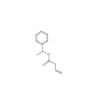 C=CCC(=O)OC(C)c1ccccc1